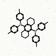 Cc1ccc(N(c2ccc(C)cc2)c2c3c(c(N(c4ccc(C)cc4)c4ccc(C)cc4)c4c2CCCC4)CCCC3)cc1